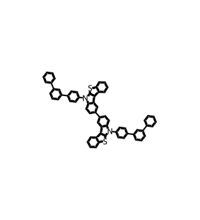 c1ccc(-c2cccc(-c3ccc(-n4c5ccc(-c6ccc7c(c6)c6c8ccccc8sc6n7-c6ccc(-c7cccc(-c8ccccc8)c7)cc6)cc5c5c6ccccc6sc54)cc3)c2)cc1